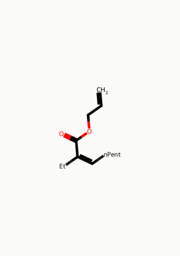 C=CCOC(=O)C(=CCCCCC)CC